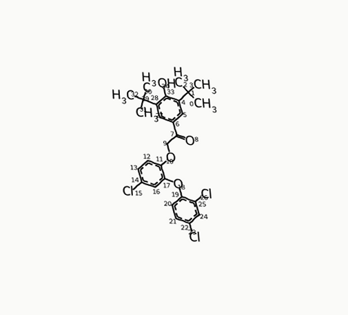 CC(C)(C)c1cc(C(=O)COc2ccc(Cl)cc2Oc2ccc(Cl)cc2Cl)cc(C(C)(C)C)c1O